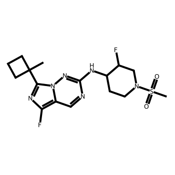 CC1(c2nc(F)c3cnc(NC4CCN(S(C)(=O)=O)CC4F)nn23)CCC1